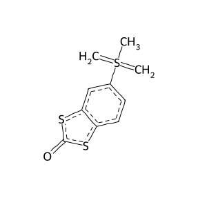 C=S(=C)(C)c1ccc2sc(=O)sc2c1